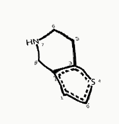 [c]1cc2c(s1)CCNC2